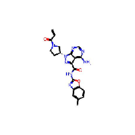 C=CC(=O)N1CC[C@@H](n2nc(C(=O)Nc3nc4cc(C)ccc4o3)c3c(N)ncnc32)C1